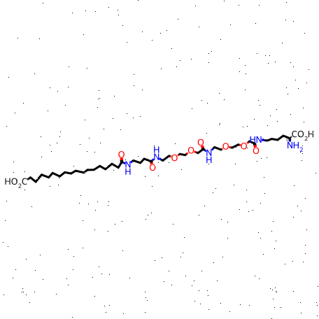 N[C@@H](CCCCNC(=O)COCCOCCNC(=O)COCCOCCNC(=O)CCCNC(=O)CCCCCCCCCCCCCCCCC(=O)O)C(=O)O